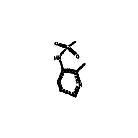 Cc1nc[c]cc1NS(C)(=O)=O